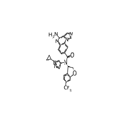 Nc1nc2ccc(C(=O)N(c3cnn(C4CC4)c3)[C@@H]3COc4cc(C(F)(F)F)ccc43)cc2n2cncc12